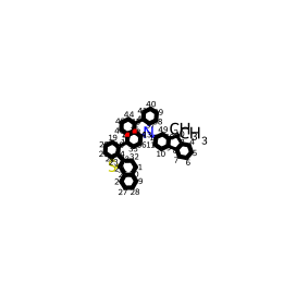 CC1(C)c2ccccc2-c2ccc(N(c3ccc(-c4cccc5sc6c7ccccc7ccc6c45)cc3)c3ccccc3-c3ccccc3)cc21